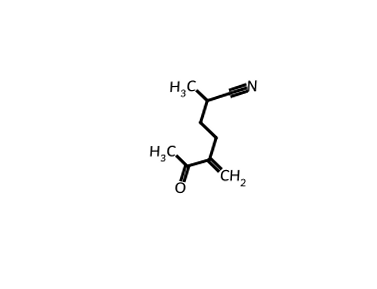 C=C(CCC(C)C#N)C(C)=O